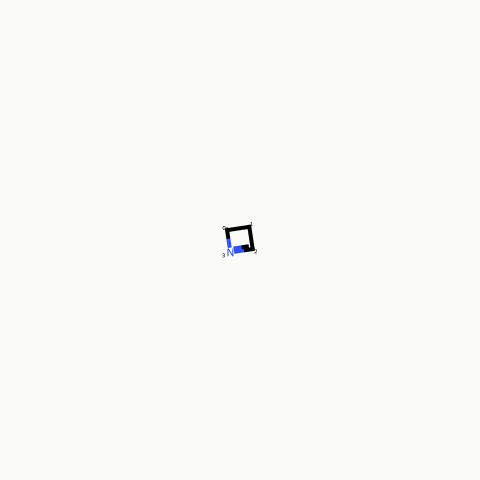 [CH]1CC=N1